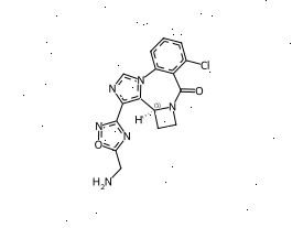 NCc1nc(-c2ncn3c2[C@@H]2CCN2C(=O)c2c(Cl)cccc2-3)no1